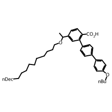 CCCCCCCCCCCCCCCCCCCCOC(C)c1ccc(C(=O)O)c(-c2ccc(-c3ccc(OCCCC)cc3)cc2)c1